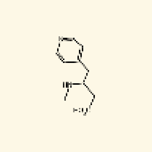 O=C(O)CC(Cc1ccncc1)NI